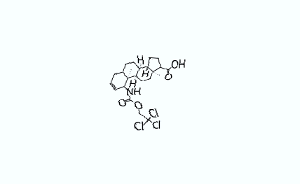 C[C@@]12C(CC=CC1NC(=O)OCC(Cl)(Cl)Cl)CC[C@@H]1[C@H]2CC[C@]2(C)C(C(=O)O)CC[C@@H]12